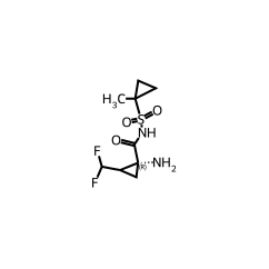 CC1(S(=O)(=O)NC(=O)[C@@]2(N)CC2C(F)F)CC1